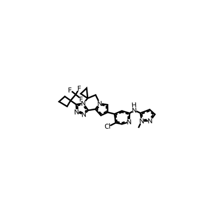 Cn1nccc1Nc1cc(-c2cc3n(c2)CC2(CC2)n2c-3nnc2C2(C(F)(F)F)CCC2)c(Cl)cn1